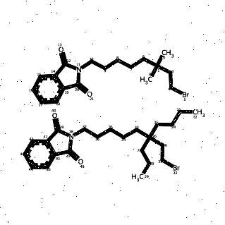 CC(C)(CCBr)CCCCCN1C(=O)c2ccccc2C1=O.CCCCC(CCC)(CCBr)CCCCCN1C(=O)c2ccccc2C1=O